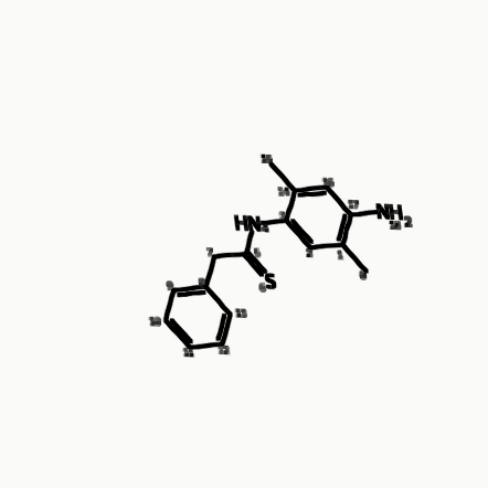 Cc1cc(NC(=S)Cc2ccccc2)c(C)cc1N